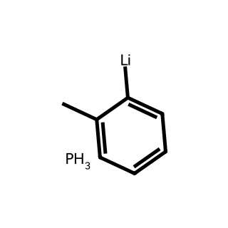 P.[Li][c]1ccccc1C